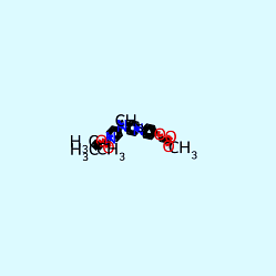 COC(=O)COc1ccc(N2CCC(N(C)C3CCN(C(=O)OC(C)(C)C)CC3)CC2)cc1